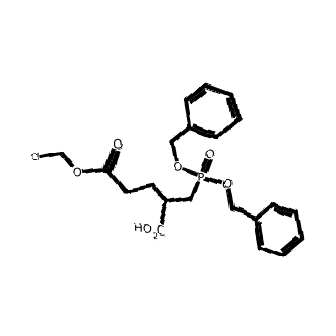 O=C(CCC(CP(=O)(OCc1ccccc1)OCc1ccccc1)C(=O)O)OCCl